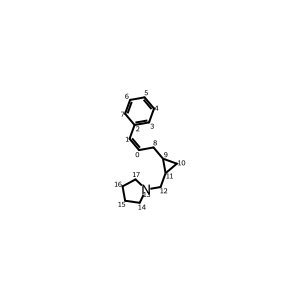 C(=C/c1ccccc1)/CC1CC1CN1CCCC1